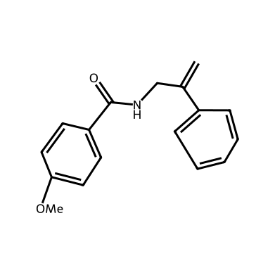 C=C(CNC(=O)c1ccc(OC)cc1)c1ccccc1